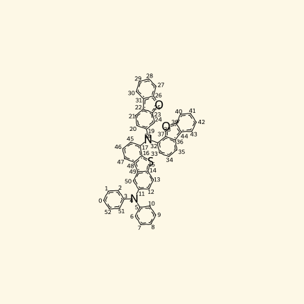 c1ccc(N(c2ccccc2)c2ccc3sc4c(N(c5ccc6c(c5)oc5ccccc56)c5cccc6c5oc5ccccc56)cccc4c3c2)cc1